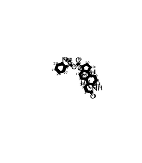 C[C@]12C=CC(=O)N[C@@H]1CC[C@@H]1[C@@H]2CC[C@]2(C)[C@@H](C(=O)On3nnc4ccccc43)CC[C@@H]12